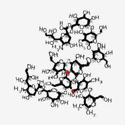 CC1C(O)[C@H](O[C@@H]2OC(CO[C@H]3OC(CO)[C@@H](O)C(O)[C@H]3O[C@@H]3O[C@@H](CO)[C@@H](O[C@@H]4OC(CO[C@]5(C(=O)O)C[C@@H](O)[C@@H](N)C([C@H](O)[C@H](O)CO)O5)[C@H](O)C(O)[C@@H]4O)C(O)C3C)[C@@H](O)C(O[C@H]3O[C@H](CO)[C@@H](O)C(O)C3O[C@@H]3OC(CO)[C@@H](O[C@@H]4OC(CO[C@]5(C(=O)O)C[C@@H](O)[C@@H](N)C([C@H](O)[C@H](O)CO)O5)[C@H](O)C(O)[C@@H]4O)C(O)[C@@H]3C)[C@H]2O)C(CO)O[C@H]1O[C@@H]1C(CO)O[C@@H](C)[C@@H](C)C1O